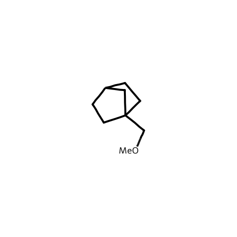 [CH2]OCC12CCC(CC1)C2